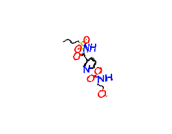 CCCCS(=O)(=O)NC(=O)c1ccc(OC(=O)NCCOC)nc1